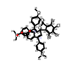 COc1ccc(/C(=C\C2(/C=C(\c3ccc(OC)cc3)c3ccc(N(C)C)cc3)OC(=O)c3c(Br)c(Cl)c(Br)c(Br)c32)c2ccc(N(C)C)cc2)cc1